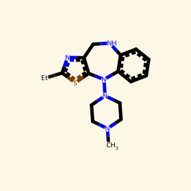 CCc1nc2c(s1)N(N1CCN(C)CC1)c1ccccc1NC2